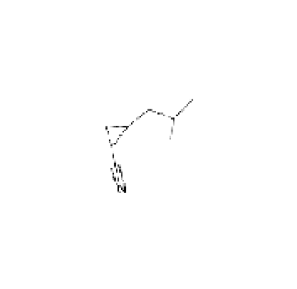 CC(C)CC1CC1C#N